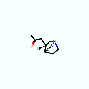 CC(=O)C[C@@H]1CN2CCC1CC2